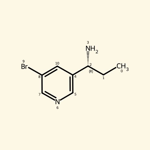 CC[C@@H](N)c1cncc(Br)c1